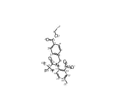 CCOC(=O)c1ccc(CN(C(=O)C(F)(F)F)c2ccc(C)cc2[N+](=O)[O-])cc1